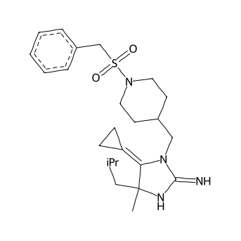 CC(C)CC1(C)NC(=N)N(CC2CCN(S(=O)(=O)Cc3ccccc3)CC2)C1=C1CC1